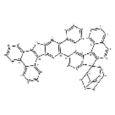 c1ccc(-c2nc3oc4c5ccccc5c5ccccc5c4c3nc2-c2ccc3c(c2)-c2c(ccc4ccccc24)C32C3CC4CC(C3)CC2C4)cc1